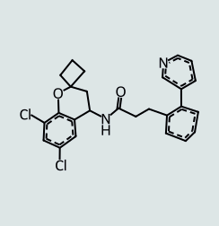 O=C(CCc1ccccc1-c1cccnc1)NC1CC2(CCC2)Oc2c(Cl)cc(Cl)cc21